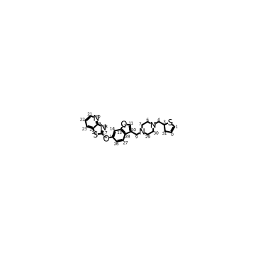 C1=CSC(CN2CCN(Cc3coc4cc(Oc5nc6ncccc6s5)ccc34)CC2)C1